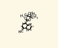 CC1(C)OB(c2ccc(C#N)c3nccnc23)OC1(C)C